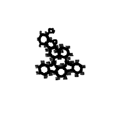 Clc1cccc2c1oc1ccc(-n3c4ccccc4c4ccc5c6ccccc6n(-c6ccccc6)c5c43)cc12